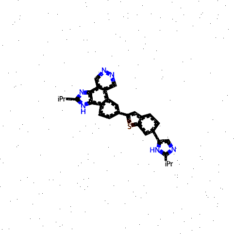 CC(C)c1ncc(-c2ccc3cc(-c4ccc5c(c4)c4cnncc4c4nc(C(C)C)[nH]c54)sc3c2)[nH]1